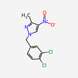 Cc1nn(Cc2ccc(Cl)c(Cl)c2)cc1[N+](=O)[O-]